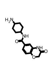 NC1CCC(NC(=O)c2ccc3c(c2)NC(=O)CO3)CC1